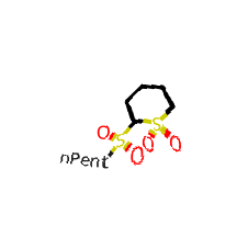 CCCCCS(=O)(=O)C1CCCCS1(=O)=O